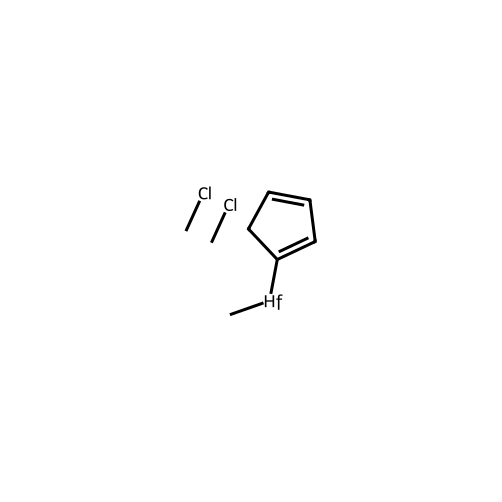 CCl.CCl.[CH3][Hf][C]1=CC=CC1